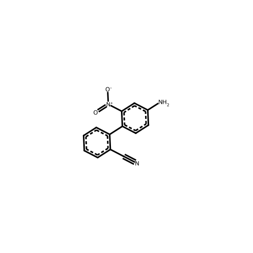 N#Cc1ccccc1-c1ccc(N)cc1[N+](=O)[O-]